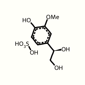 COc1cc([C@@H](O)CO)ccc1O.O=S(=O)(O)O